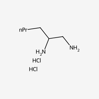 CCCCC(N)CN.Cl.Cl